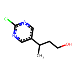 CC(CCO)c1cnc(Cl)nc1